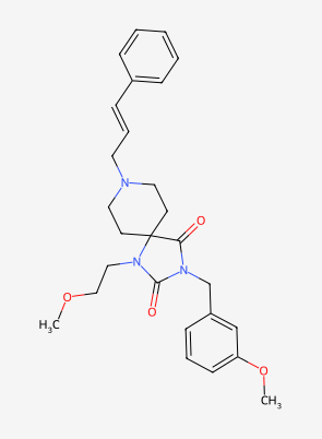 COCCN1C(=O)N(Cc2cccc(OC)c2)C(=O)C12CCN(C/C=C/c1ccccc1)CC2